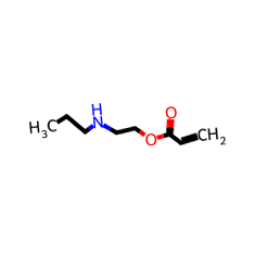 C=CC(=O)OCCNCCC